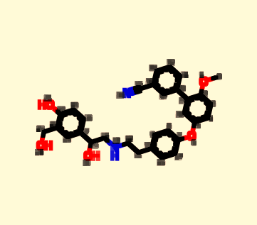 COc1ccc(Oc2ccc(CCNCC(O)c3ccc(O)c(CO)c3)cc2)cc1-c1cccc(C#N)c1